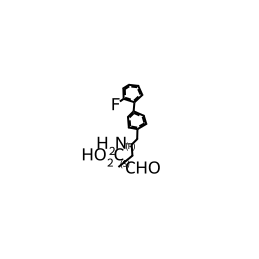 C[C@@](C=O)(C[C@H](N)Cc1ccc(-c2ccccc2F)cc1)C(=O)O